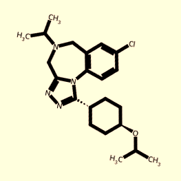 CC(C)O[C@H]1CC[C@H](c2nnc3n2-c2ccc(Cl)cc2CN(C(C)C)C3)CC1